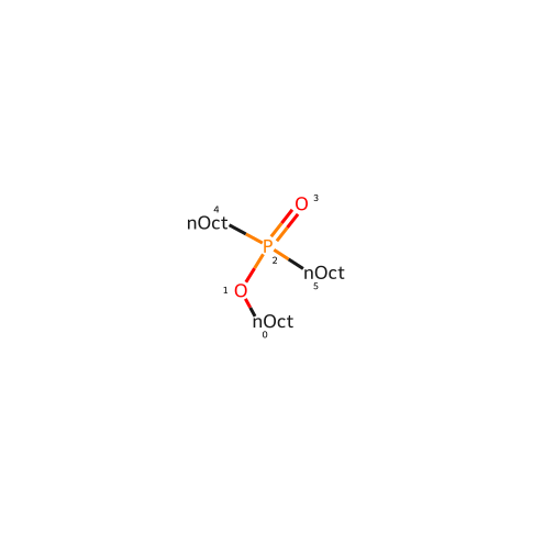 CCCCCCCCOP(=O)(CCCCCCCC)CCCCCCCC